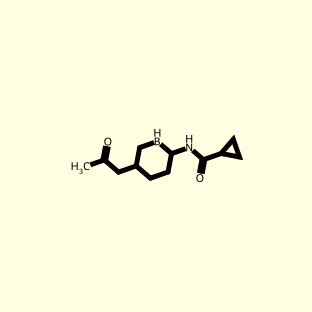 CC(=O)CC1CBC(NC(=O)C2CC2)CC1